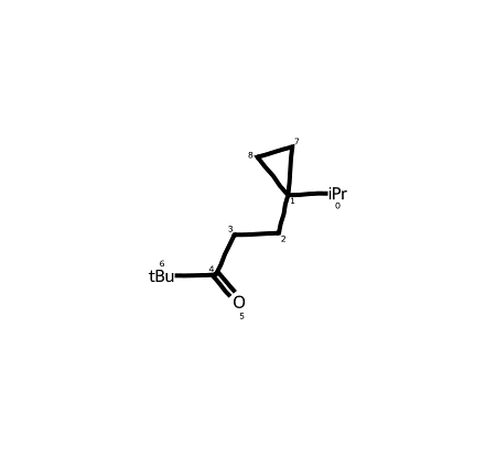 CC(C)C1(CCC(=O)C(C)(C)C)CC1